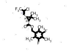 Cc1c(F)c(C)c(COC(=O)[C@@H]2[C@H](/C=C(\Cl)C(F)(F)F)C2(C)C)c(C)c1F